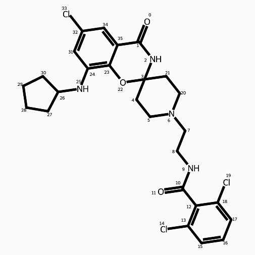 O=C1NC2(CCN(CCNC(=O)c3c(Cl)cccc3Cl)CC2)Oc2c(NC3CCCC3)cc(Cl)cc21